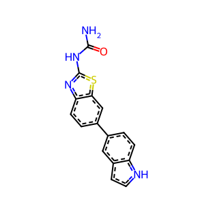 NC(=O)Nc1nc2ccc(-c3ccc4[nH]ccc4c3)cc2s1